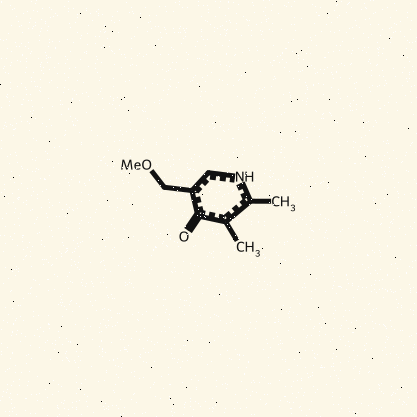 COCc1c[nH]c(C)c(C)c1=O